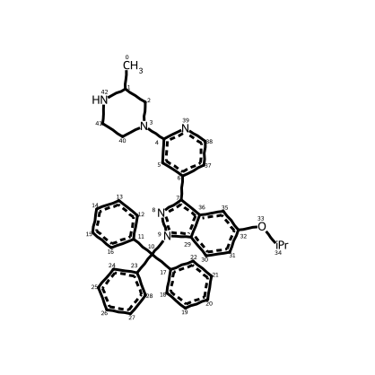 CC1CN(c2cc(-c3nn(C(c4ccccc4)(c4ccccc4)c4ccccc4)c4ccc(OC(C)C)cc34)ccn2)CCN1